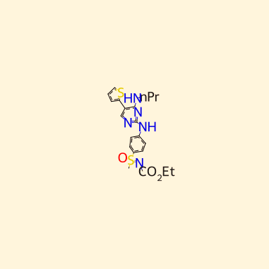 CCCNc1nc(Nc2ccc(S(C)(=O)=NC(=O)OCC)cc2)ncc1-c1cccs1